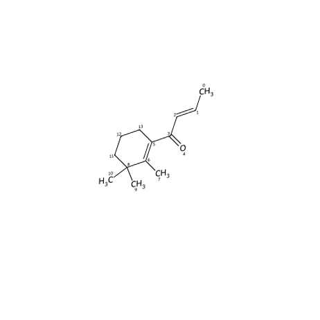 CC=CC(=O)C1=C(C)C(C)(C)CCC1